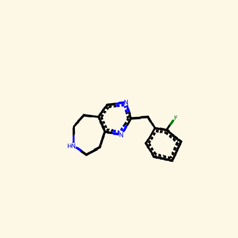 Fc1ccccc1Cc1ncc2c(n1)CCNCC2